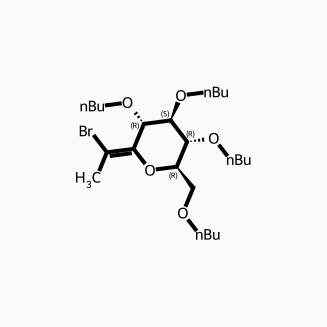 CCCCOC[C@H]1OC(=C(C)Br)[C@H](OCCCC)[C@@H](OCCCC)[C@@H]1OCCCC